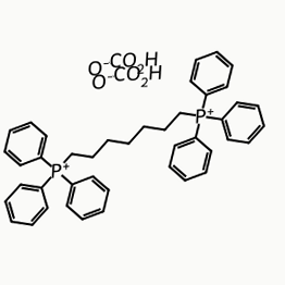 O=C([O-])O.O=C([O-])O.c1ccc([P+](CCCCCCC[P+](c2ccccc2)(c2ccccc2)c2ccccc2)(c2ccccc2)c2ccccc2)cc1